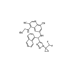 CC(C)(C)CNc1c(C#N)cnc2c(C#N)cc(NC(c3cn(C4(C(F)F)CC4)nn3)c3cccc4cnccc34)cc12